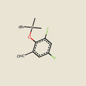 CC(C)(C)[Si](C)(C)Oc1c(F)cc(F)cc1C=O